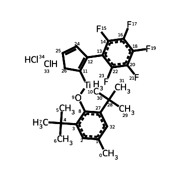 Cc1cc(C(C)(C)C)c([O][Ti][C]2=C(c3c(F)c(F)c(F)c(F)c3F)C=CC2)c(C(C)(C)C)c1.Cl.Cl